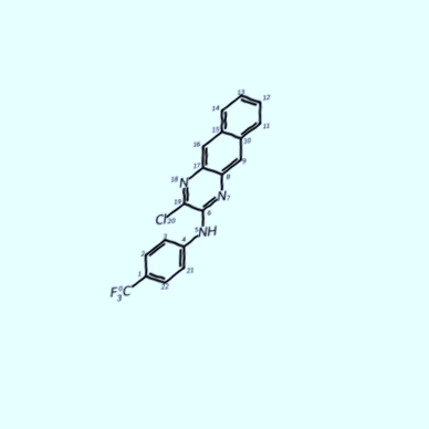 FC(F)(F)c1ccc(Nc2nc3cc4ccccc4cc3nc2Cl)cc1